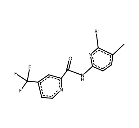 Cc1ccc(NC(=O)c2cc(C(F)(F)F)ccn2)nc1Br